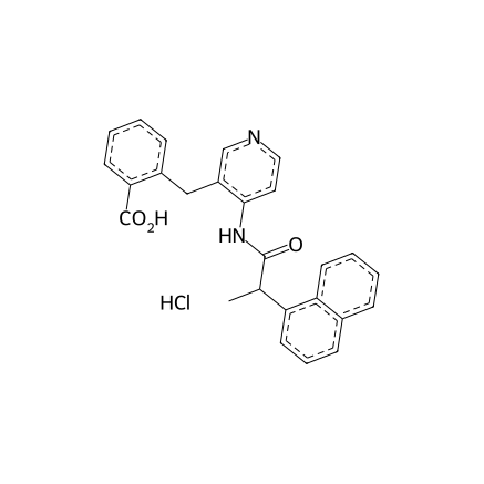 CC(C(=O)Nc1ccncc1Cc1ccccc1C(=O)O)c1cccc2ccccc12.Cl